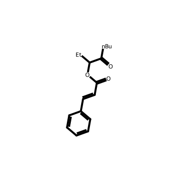 CCCCC(=O)C(CC)OC(=O)C=Cc1ccccc1